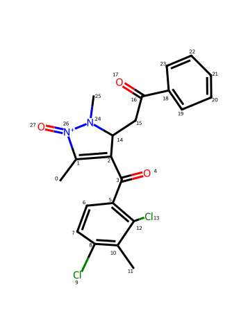 CC1=C(C(=O)c2ccc(Cl)c(C)c2Cl)C(CC(=O)c2ccccc2)N(C)[N+]1=O